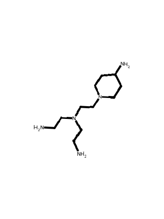 NCCN(CCN)CCN1CCC(N)CC1